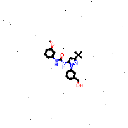 COc1cccc(NC(=O)Nc2cc(C(C)(C)C)nn2-c2cccc(CO)c2)c1